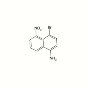 Nc1ccc(Br)c2c([N+](=O)[O-])cccc12